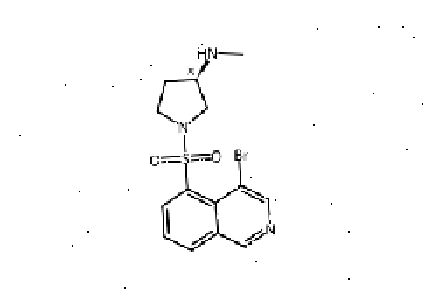 CN[C@@H]1CCN(S(=O)(=O)c2cccc3cncc(Br)c23)C1